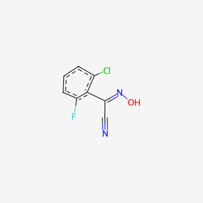 N#CC(=NO)c1c(F)cccc1Cl